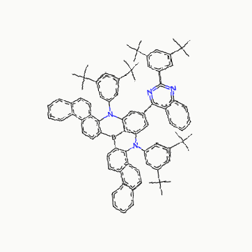 CC(C)(C)c1cc(-c2nc(-c3cc4c5c(c3)N(c3cc(C(C)(C)C)cc(C(C)(C)C)c3)c3c(ccc6c3ccc3ccccc36)B5c3ccc5c(ccc6ccccc65)c3N4c3cc(C(C)(C)C)cc(C(C)(C)C)c3)c3ccccc3n2)cc(C(C)(C)C)c1